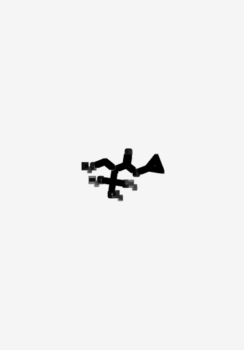 CCN(C(=O)OC1CC1)C(C)(C)C